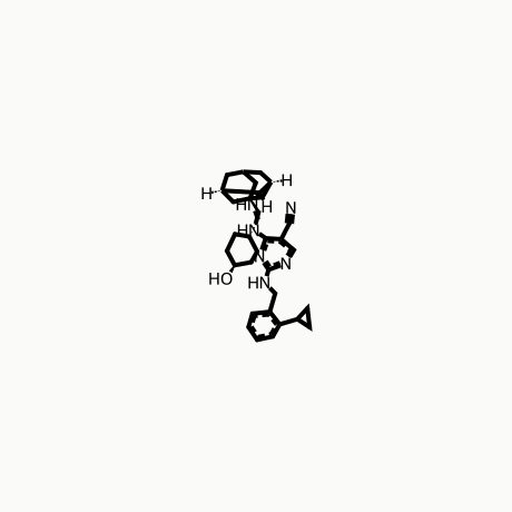 N#Cc1cnc(NCc2ccccc2C2CC2)nc1NC[C@]12CC3C[C@H](C1)[C@@H](NC[C@H]1CC[C@H](O)CC1)[C@@H](C3)C2